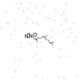 CC(C)=CCCC(C)=CCCC(C)=CC(=O)n1ccnc1